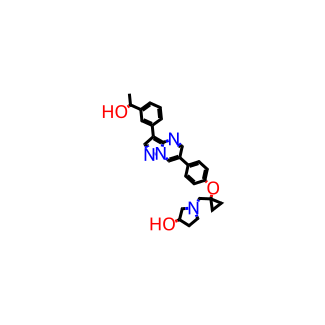 CC(O)c1cccc(-c2cnn3cc(-c4ccc(OC5(CN6CCC(O)C6)CC5)cc4)cnc23)c1